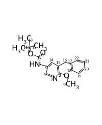 COc1ncc(NC(=O)OC(C)(C)C)cc1Cc1ccccc1